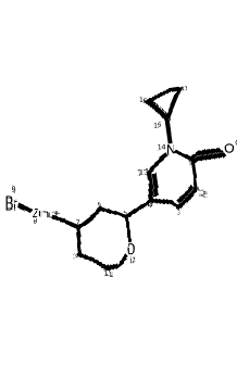 O=c1ccc(C2C[CH]([Zn+][Br])CCO2)cn1C1CC1